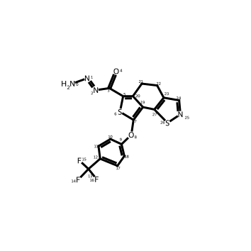 NN=NC(=O)c1sc(Oc2ccc(C(F)(F)F)cc2)c2c1CCc1cnsc1-2